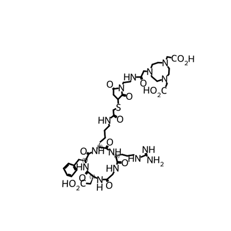 N=C(N)NCCC[C@@H]1NC(=O)[C@@H](CCCCNC(=O)CSC2CC(=O)N(CCNC(=O)CN3CCN(CC(=O)O)CCN(CC(=O)O)CC3)C2=O)NC(=O)[C@H](Cc2ccccc2)NC(=O)[C@H](CC(=O)O)NC(=O)CNC1=O